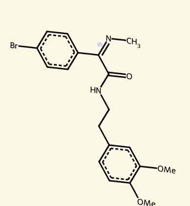 C/N=C(\C(=O)NCCc1ccc(OC)c(OC)c1)c1ccc(Br)cc1